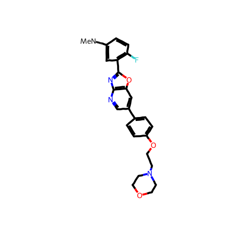 CNc1ccc(F)c(-c2nc3ncc(-c4ccc(OCCN5CCOCC5)cc4)cc3o2)c1